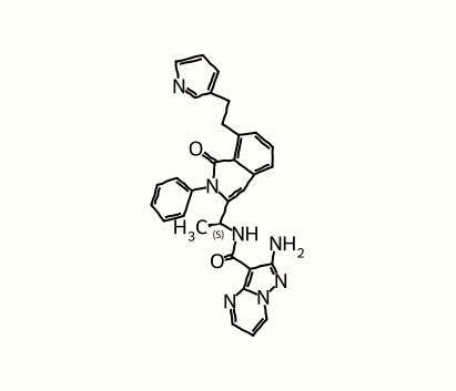 C[C@H](NC(=O)c1c(N)nn2cccnc12)c1cc2cccc(CCc3cccnc3)c2c(=O)n1-c1ccccc1